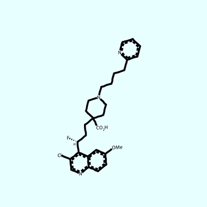 COc1ccc2ncc(Cl)c([C@H](F)CCC3(C(=O)O)CCN(CCCCc4ccccn4)CC3)c2c1